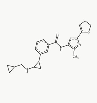 Cn1nc(C2=CCCS2)cc1NC(=O)c1cccc(C2CC2NCC2CC2)c1